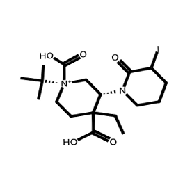 CCC1(C(=O)O)CC[N@+](C(=O)O)(C(C)(C)C)C[C@@H]1N1CCCC(I)C1=O